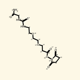 NC(=O)CNC(=S)NCCOCCOCCC(=O)ON1C(=O)CCC1=O